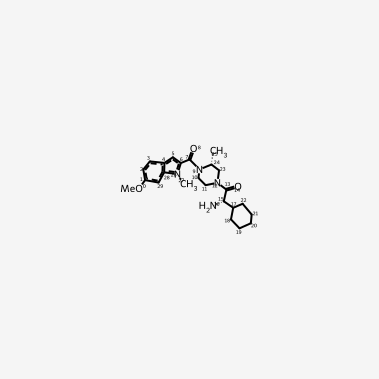 COc1ccc2cc(C(=O)N3CCN(C(=O)[C@@H](N)C4CCCCC4)C[C@H]3C)n(C)c2c1